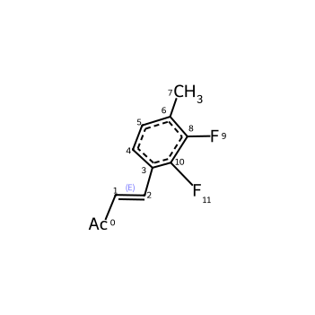 CC(=O)/C=C/c1ccc(C)c(F)c1F